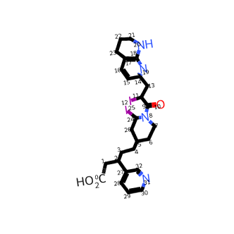 O=C(O)CC(CCC1CCN(C(=O)C(I)Cc2ccc3c(n2)NCCC3)C(I)C1)c1cccnc1